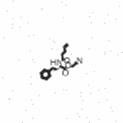 C=CCCC(=O)N[C@@H](CCc1ccccc1)C(=O)OCC#N